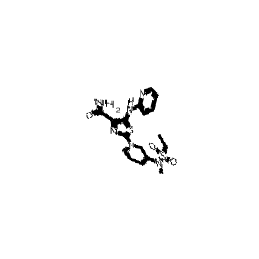 CCS(=O)(=O)N(C)C1CCCN(c2nc(C(N)=O)c(Nc3ccccn3)s2)C1